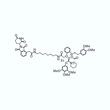 CC[C@H](C(=O)N1CCCC[C@H]1C(=O)O[C@H](CCc1ccc(OC)c(OC)c1)c1ccccc1OCC(=O)NCCCCCCCCNC(=O)Cc1cccc2c1C(=O)N(C1CCC(=O)NC1=O)C2=O)c1cc(OC)c(OC)c(OC)c1